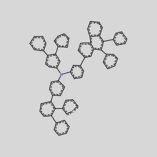 c1ccc(-c2ccc(N(c3ccc(-c4cccc(-c5ccccc5)c4-c4ccccc4)cc3)c3cccc(-c4ccc5c(c4)c(-c4ccccc4)c(-c4ccccc4)c4ccccc45)c3)cc2-c2ccccc2)cc1